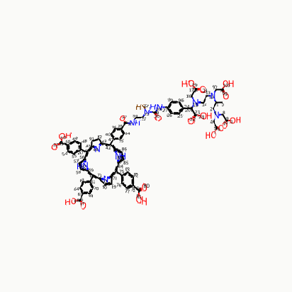 CC(CN(CC(=O)O)CC(=O)O)N(CCN(CC(=O)O)C(C(=O)O)c1ccc(NC(=O)N(S)CCNC(=O)c2ccc(-c3c4nc(c(-c5ccc(C(=O)O)cc5)c5ccc([nH]5)c(-c5ccc(C(=O)O)cc5)c5nc(c(-c6ccc(C(=O)O)cc6)c6ccc3[nH]6)C=C5)C=C4)cc2)cc1)CC(=O)O